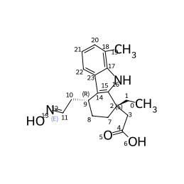 CC[C@@]1(CC(=O)O)CC[C@H](C/C=N/O)c2c1[nH]c1c(C)cccc21